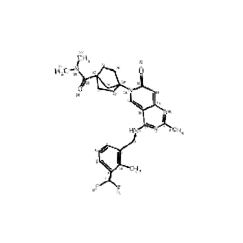 Cc1nc(NCc2cccc(C(F)F)c2C)c2cn(C34CCC(C(=O)N(C)C)(CC3)C4)c(=O)cc2n1